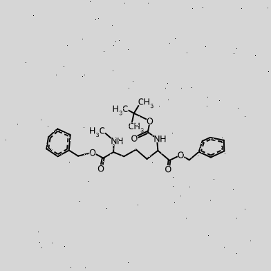 CNC(CCCC(NC(=O)OC(C)(C)C)C(=O)OCc1ccccc1)C(=O)OCc1ccccc1